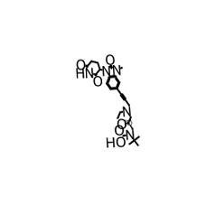 Cn1c(=O)n(C2CCC(=O)NC2=O)c2ccc(C#CCN3CCO[C@H](CN(C(=O)O)C(C)(C)C)C3)cc21